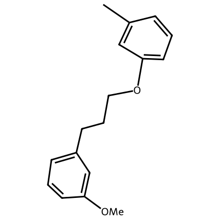 COc1cccc(CCCOc2cccc(C)c2)c1